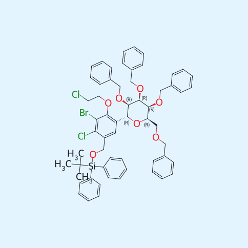 CC(C)(C)[Si](OCc1cc([C@H]2O[C@H](COCc3ccccc3)[C@H](OCc3ccccc3)[C@H](OCc3ccccc3)[C@@H]2OCc2ccccc2)c(OCCCl)c(Br)c1Cl)(c1ccccc1)c1ccccc1